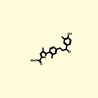 CCC(CCc1ccc(-c2sc(C(=O)OC)cc2C)c(C)c1)c1ccc(O)c(C)c1